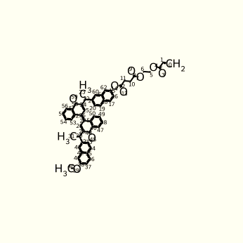 C=CC(=O)OCCOC(=O)CCC(=O)Oc1ccc2ccc(C(C)C3=C/C(=C4/C=C(C(C)c5ccc6ccc(OC)cc6c5)C(=O)c5ccccc54)c4ccccc4C3=O)cc2c1